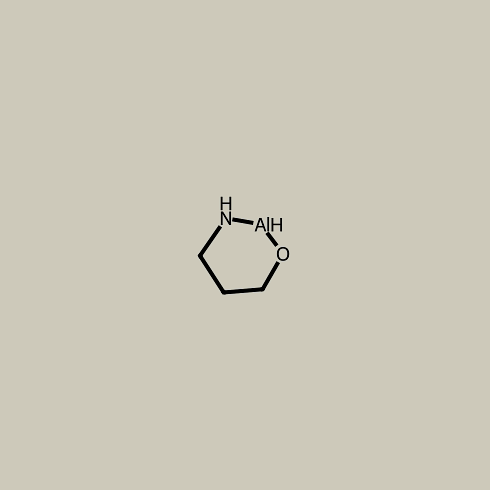 C1C[NH][AlH][O]C1